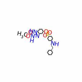 COC(=O)Nc1nc2cc(OS(=O)(=O)c3ccc(NCCc4ccccc4)cc3)ccc2[nH]1